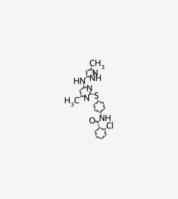 Cc1cc(Nc2cc(C)nc(Sc3ccc(NC(=O)c4ccccc4Cl)cc3)n2)[nH]n1